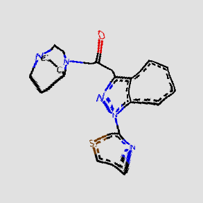 O=C(c1nn(-c2nccs2)c2ccccc12)N1CCN2CCC1CC2